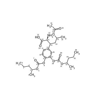 CCCC(C)OC(=O)Oc1ccc(C(CC(C)OC(C)=O)[C@H](N)C(=O)O)cc1OC(=O)OC(C)CCC